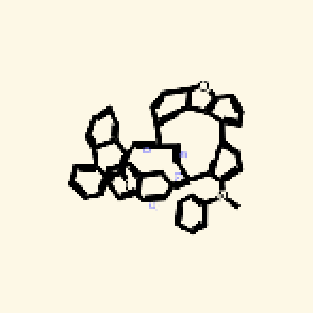 CN(c1ccccc1)c1ccc2cc1C1=C(Cc3ccccc3)\C=C/Cc3c(c4ccccc4c4ccccc34)\C=C(\C=C\1)C1=CC3c4c(cccc4-2)OC3C=C1